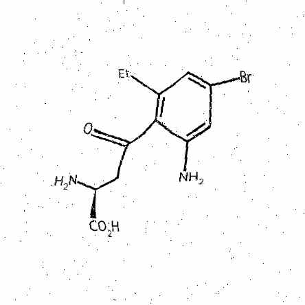 CCc1cc(Br)cc(N)c1C(=O)C[C@H](N)C(=O)O